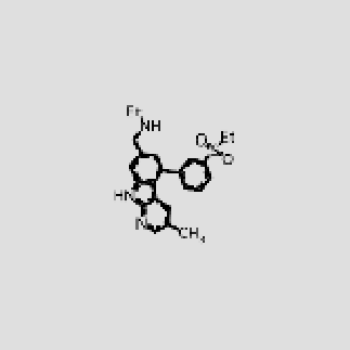 CCNCc1cc(-c2cccc(S(=O)(=O)CC)c2)c2c(c1)[nH]c1ncc(C)cc12